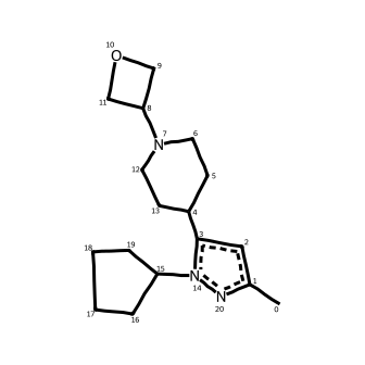 Cc1cc(C2CCN(C3COC3)CC2)n(C2CCCC2)n1